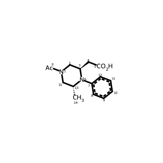 CC(=O)N1C[C@@H](CC(=O)O)N(c2ccccc2)[C@H](C)C1